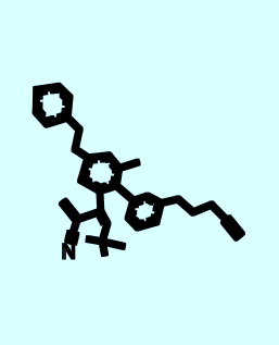 C#CCCCc1cccc(-c2c(C)cc(CCc3ccccc3)cc2/C(=C/C(C)(C)C)C(=C)C#N)c1